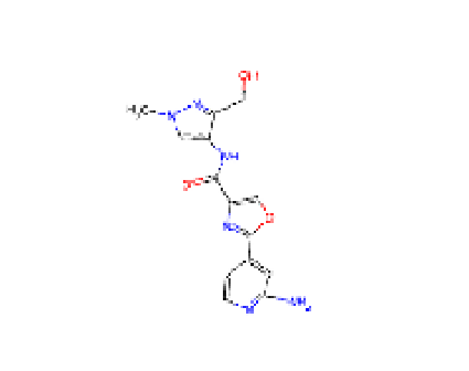 Cn1cc(NC(=O)c2coc(-c3ccnc(N)c3)n2)c(CO)n1